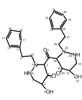 O=C(C1C(Cl)C(O)CNN1CCc1ccccc1)C1C(Cl)C(O)CNN1CCc1ccccc1